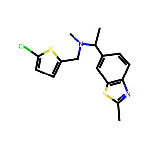 Cc1nc2ccc(C(C)N(C)Cc3ccc(Cl)s3)cc2s1